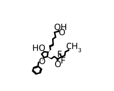 CCCCC(F)(F)C(=O)CC[C@@H]1[C@@H](CC=CCCCC(=O)O)[C@@H](O)C[C@H]1OCc1ccccc1